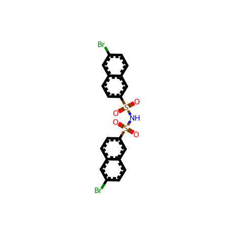 O=S(=O)(NS(=O)(=O)c1ccc2cc(Br)ccc2c1)c1ccc2cc(Br)ccc2c1